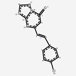 O=c1cc(/C=C/c2ccc(Cl)cc2)nc2scnn12